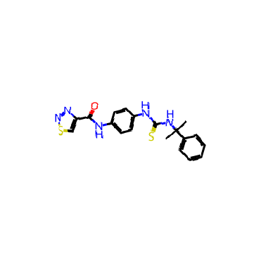 CC(C)(NC(=S)Nc1ccc(NC(=O)c2csnn2)cc1)c1ccccc1